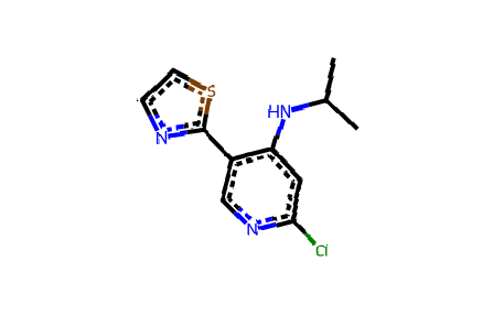 CC(C)Nc1cc(Cl)ncc1-c1n[c]cs1